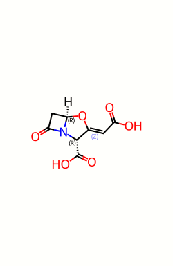 O=C(O)/C=C1\O[C@@H]2CC(=O)N2[C@H]1C(=O)O